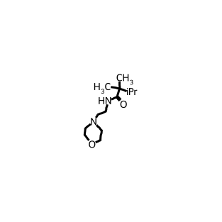 CC(C)C(C)(C)C(=O)NCCN1CCOCC1